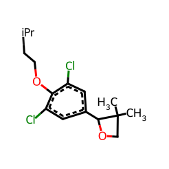 CC(C)CCOc1c(Cl)cc(C2OCC2(C)C)cc1Cl